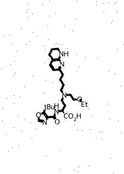 CCOCCN(CCCCc1ccc2c(n1)NCCC2)CC[C@H](NC(=O)c1ncoc1C(C)(C)C)C(=O)O